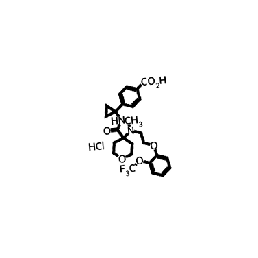 CN(CCOc1ccccc1OC(F)(F)F)C1(C(=O)NC2(c3ccc(C(=O)O)cc3)CC2)CCOCC1.Cl